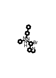 Brc1cc(-c2cccc3cccnc23)cc(C2N=C(c3ccc(-c4ccccc4)cc3)N=C(c3ccccc3)N2)c1